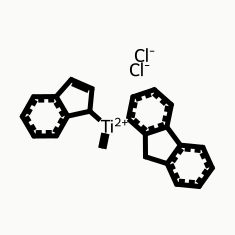 [CH2]=[Ti+2]([c]1cccc2c1Cc1ccccc1-2)[CH]1C=Cc2ccccc21.[Cl-].[Cl-]